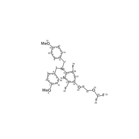 COc1ccc(CN(Cc2ccc(OC)cc2)c2nc(F)c(OCCOC(F)F)cc2F)cc1